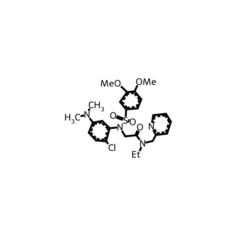 CCN(Cc1ccccn1)C(=O)CN(c1cc(N(C)C)ccc1Cl)S(=O)(=O)c1ccc(OC)c(OC)c1